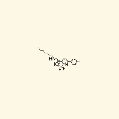 CCCCCCCNC[C@@H](O)c1ccc(-c2ccc(C)cc2)nc1C(F)(F)F